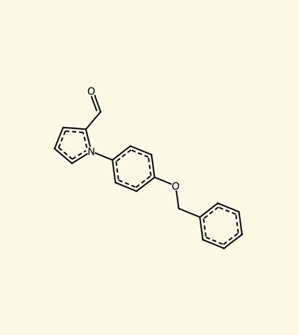 O=Cc1cccn1-c1ccc(OCc2ccccc2)cc1